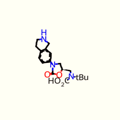 CC(C)(C)N(C[C@@H]1CN(c2ccc3c(c2)CNCC3)C(=O)O1)C(=O)O